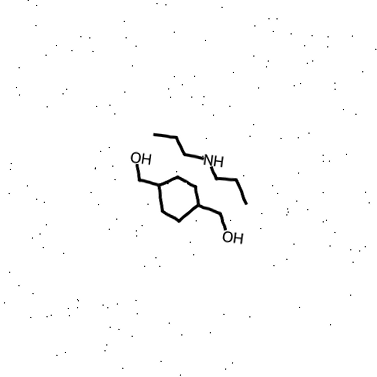 CCCNCCC.OCC1CCC(CO)CC1